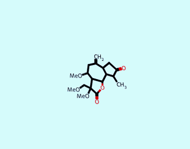 C=C1CC(OC)C2C(OC(=O)C2(COC)OC)C2C(C)C(=O)CC12